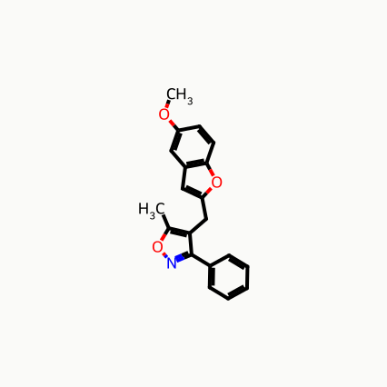 COc1ccc2oc(Cc3c(-c4ccccc4)noc3C)cc2c1